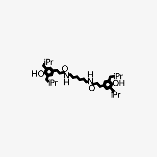 CC(C)Cc1cc(CCC(=O)NCCCCCCNC(=O)CCc2cc(CC(C)C)c(O)c(CC(C)C)c2)cc(CC(C)C)c1O